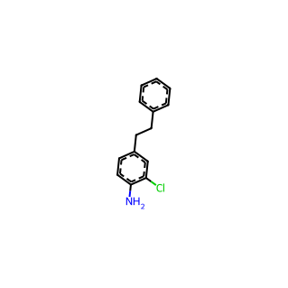 Nc1ccc(CCc2ccccc2)cc1Cl